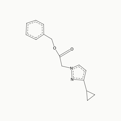 O=C(Cn1ccc(C2CC2)n1)OCc1ccccc1